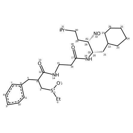 CC[S+]([O-])CC(Cc1ccccc1)C(=O)NCCC(=O)N[C@@H](CC1CCCCC1)[C@H](CCC(C)C)N=O